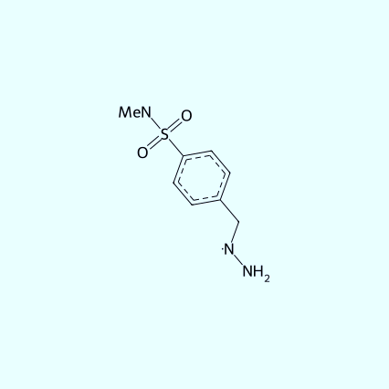 CNS(=O)(=O)c1ccc(C[N]N)cc1